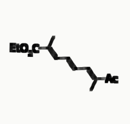 CCOC(=O)/C(C)=C/C=C/C=C(\C)C(C)=O